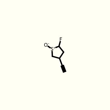 C#CC1CC(F)[S+]([O-])C1